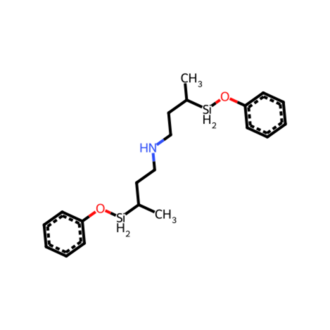 CC(CCNCCC(C)[SiH2]Oc1ccccc1)[SiH2]Oc1ccccc1